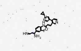 N=C/C=C(\N)c1ccc(NC(=O)/C=C/c2cnccc2-c2cnn(C3CC3)c2)c(F)c1